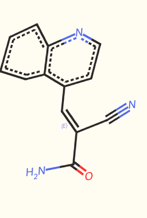 N#C/C(=C\c1ccnc2ccccc12)C(N)=O